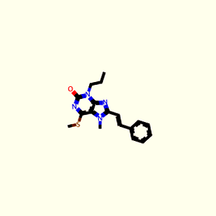 CCCn1c(=O)nc(SC)c2c1nc(C=Cc1ccccc1)n2C